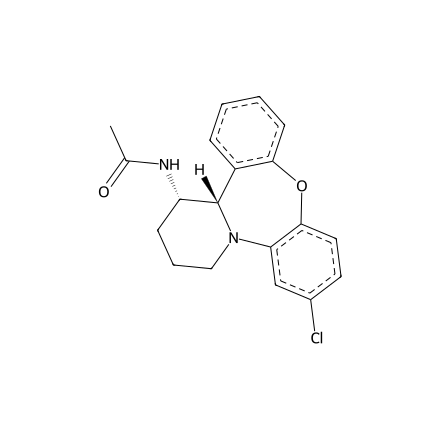 CC(=O)N[C@H]1CCCN2c3cc(Cl)ccc3Oc3ccccc3[C@@H]12